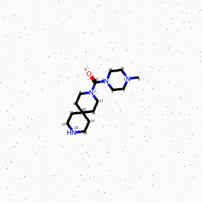 CN1CCN(C(=O)N2CCC3(CCNCC3)CC2)CC1